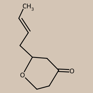 CC=CCC1CC(=O)CCO1